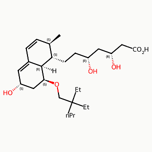 CCCC(CC)(CC)CO[C@H]1C[C@H](O)C=C2C=C[C@@H](C)[C@H](CC[C@@H](O)C[C@@H](O)CC(=O)O)[C@H]21